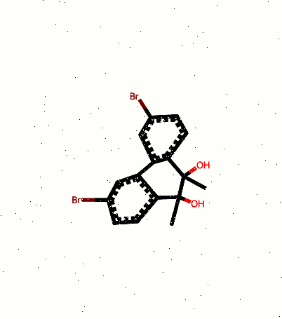 CC1(O)c2ccc(Br)cc2-c2cc(Br)ccc2C1(C)O